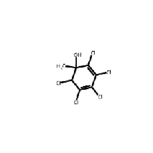 CC1(O)C(Cl)=C(Cl)C(Cl)=C(Cl)C1Cl